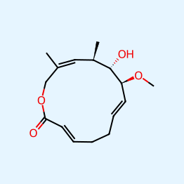 CO[C@H]1/C=C/CC/C=C/C(=O)OC/C(C)=C\[C@@H](C)[C@@H]1O